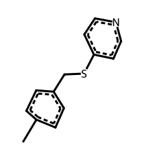 Cc1ccc(CSc2ccncc2)cc1